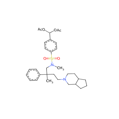 CC(=O)OC(OC(C)=O)c1ccc(S(=O)(=O)N(C)CC(C)(CCN2CCC3CCCC3C2)c2ccccc2)cc1